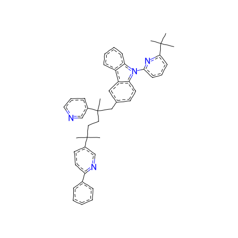 CC(C)(C)c1cccc(-n2c3ccccc3c3cc(CC(C)(CCC(C)(C)c4ccc(-c5ccccc5)nc4)c4cccnc4)ccc32)n1